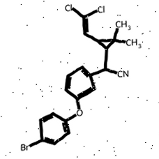 CC1(C)C(C=C(Cl)Cl)C1C(C#N)c1cccc(Oc2ccc(Br)cc2)c1